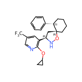 FC(F)(F)c1cnc(OC2CC2)c([C@H]2C[C@@]3(CCCC[C@H]3c3ccccc3)ON2)c1